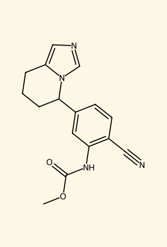 COC(=O)Nc1cc(C2CCCc3cncn32)ccc1C#N